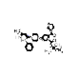 CC(=N)/C=C(\Nc1ccccc1)N1CCN([C@H]2C[C@@H](C(=O)N3CCSC3)N(C(=O)OC(C)(C)C)C2)CC1